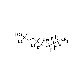 CCC(C)(O)CCC(C)(CC)C(F)(F)CC(F)(F)C(F)(F)C(F)(F)C(F)(F)F